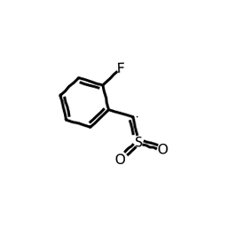 O=S(=O)=[C]c1ccccc1F